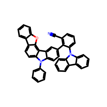 N#Cc1cccc(-n2c3ccccc3c3ccccc32)c1-c1ccc2c(c1)c1c3oc4ccccc4c3ccc1n2-c1ccccc1